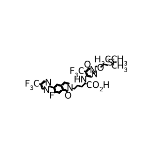 C[Si](C)(C)CCOCn1ncc(NC(CCCn2ccc3cc(-c4ncc(C(F)(F)F)cn4)c(F)cc3c2=O)C(=O)O)c(C(F)(F)F)c1=O